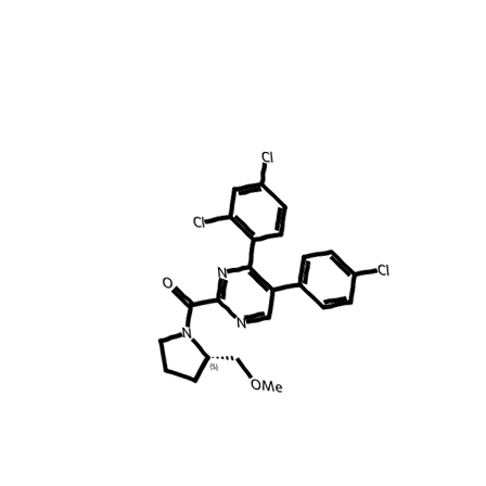 COC[C@@H]1CCCN1C(=O)c1ncc(-c2ccc(Cl)cc2)c(-c2ccc(Cl)cc2Cl)n1